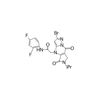 CC(C)N1Cc2c(n(CC(=O)Nc3ccc(F)cc3F)c3cc(Br)nn3c2=O)C1=O